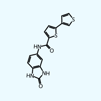 O=C(Nc1ccc2[nH]c(=O)[nH]c2c1)c1ccc(-c2ccsc2)s1